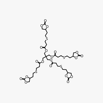 O=C(CCSCCC1COC(=O)O1)OCC(COC(=O)CCSCCC1COC(=O)O1)(COC(=O)CCSCCC1COC(=O)O1)COC(=O)CCSCCC1COC(=O)O1